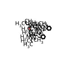 CC[C@H](C)[C@@H](C(N)=O)N(C)C(=O)[C@H](Cc1ccccc1)N(C)C(=O)[C@H](COc1ccccc1Cl)NC(=O)[C@H](C)N(C)C(=O)[C@H](CC(C)C)N(C)C(=O)[C@@H](N)CC(C)C